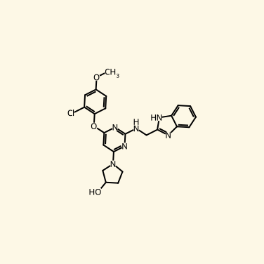 COc1ccc(Oc2cc(N3CCC(O)C3)nc(NCc3nc4ccccc4[nH]3)n2)c(Cl)c1